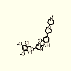 COc1cc(C2CCN(C3CCN(C)CC3)CC2)ccc1Nc1ncc(OCc2c(Cl)c(OC)cc(OC)c2Cl)cn1